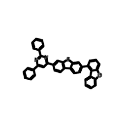 c1ccc(-c2cc(-c3ccc4c(c3)sc3cc(-c5cccc6oc7ccccc7c56)ccc34)nc(-c3ccccc3)n2)cc1